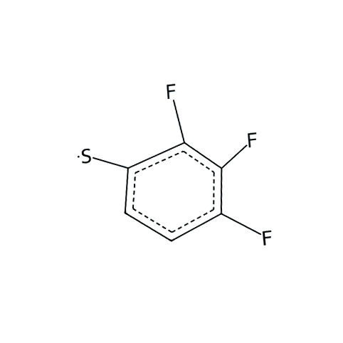 Fc1ccc([S])c(F)c1F